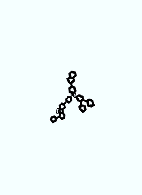 c1ccc(-c2ccc(N(c3ccc(-c4ccc5ccccc5c4)cc3)c3ccc(-c4ccc5oc6c(-c7ccccc7)cccc6c5c4)cc3)cc2-c2ccccc2)cc1